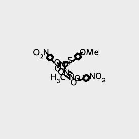 COc1ccc(CS[C@H]2C[C@@H](C(=O)N3CCN(C(=O)OCc4ccc([N+](=O)[O-])cc4)CC3C)N(C(=O)OCc3ccc([N+](=O)[O-])cc3)C2)cc1